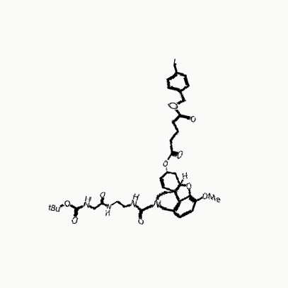 COc1ccc2c3c1O[C@H]1C[C@@H](OC(=O)CCCC(=O)OCc4ccc(I)cc4)C=C[C@@]31CCN(C(=O)NCCNC(=O)CNC(=O)OC(C)(C)C)C2